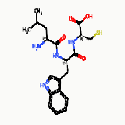 CC(C)C[C@H](N)C(=O)N[C@@H](Cc1c[nH]c2ccccc12)C(=O)N[C@@H](CS)C(=O)O